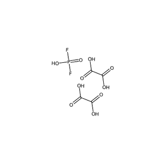 O=C(O)C(=O)O.O=C(O)C(=O)O.O=P(O)(F)F